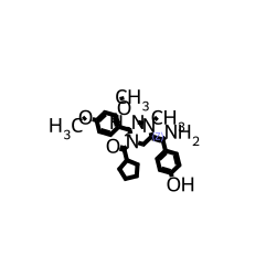 COc1ccc(CN(C/C(=C(/N)c2ccc(O)cc2)N(C)N)C(=O)C2CCCC2)c(OC)c1